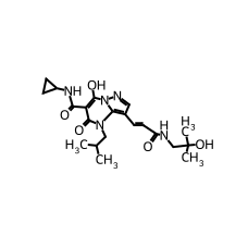 CC(C)Cn1c(=O)c(C(=O)NC2CC2)c(O)n2ncc(/C=C/C(=O)NCC(C)(C)O)c12